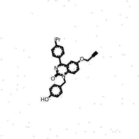 C#CCOc1ccc2c(c1)c(-c1ccc(C(C)C)cc1)nc(=O)n2Cc1ccc(O)cc1